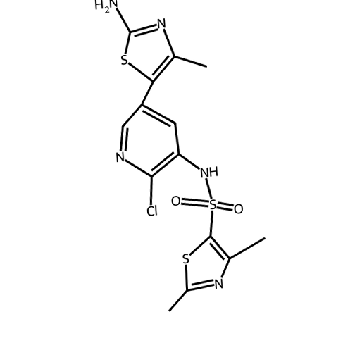 Cc1nc(C)c(S(=O)(=O)Nc2cc(-c3sc(N)nc3C)cnc2Cl)s1